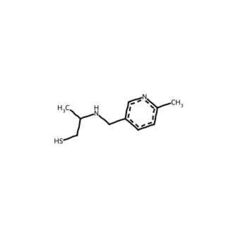 Cc1ccc(CNC(C)CS)cn1